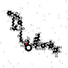 COC(=O)CC1=C2/C(=C/CSSC(C)(C)CCC(=O)CCCNC(=O)OCc3ccc(NC(=O)[C@H](C)CC(=O)[C@H](Cc4ccccc4)NC(=O)CCCCCN4C(=O)CC(C)C4=O)cc3)[C@](O)(C#C/C=C\C#C[C@@H]2OC2OC(C)C(NOC3CC(O)C(SC(=O)c4c(C)c(I)c(OC5OC(C)C(O)C(OC)C5O)c(C)c4OC)C(C)O3)C(O)C2OC2CC(C)C(CC(C)=O)CO2)CC1=O